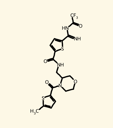 Cc1ccc(C(=O)N2CCOCC2CNC(=O)c2ccc(C(=N)NC(=O)C(F)(F)F)s2)s1